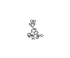 [O-][S@+](c1sc2nc(-c3cnc(O)nc3)cc3c2c1[nH]n1nccc31)C1CCC1